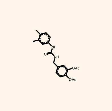 CC(=O)Oc1ccc(CNC(=O)Nc2ccc(C)c(C)c2)cc1OC(C)=O